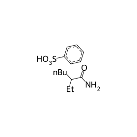 CCCCC(CC)C(N)=O.O=S(=O)(O)c1ccccc1